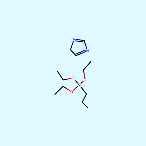 C1=NC=NC1.CCC[Si](OCC)(OCC)OCC